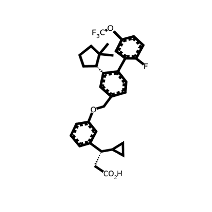 CC1(C)CCC[C@H]1c1cc(COc2cccc([C@@H](CC(=O)O)C3CC3)c2)ccc1-c1cc(OC(F)(F)F)ccc1F